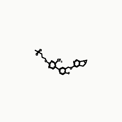 CS(=O)(=O)CCCOc1cc(C(F)(F)F)c(-c2ccc(F)c(COc3cc4c(cn3)C3CC3C4)c2)cn1